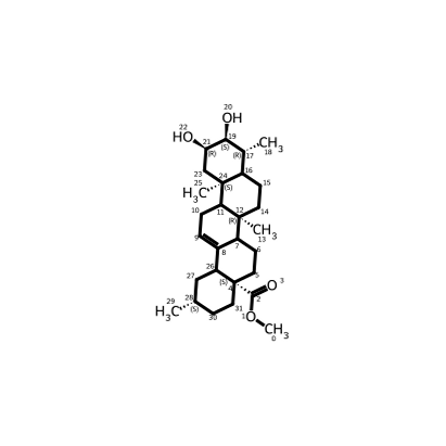 COC(=O)[C@@]12CCC3C(=CCC4[C@@]3(C)CCC3[C@@H](C)[C@H](O)[C@H](O)C[C@@]34C)C1C[C@@H](C)CC2